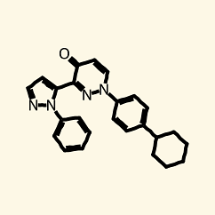 O=c1ccn(-c2ccc(C3CCCCC3)cc2)nc1-c1ccnn1-c1ccccc1